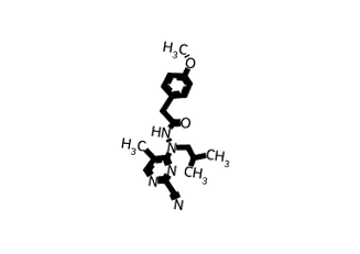 COc1ccc(CC(=O)NN(CC(C)C)c2nc(C#N)ncc2C)cc1